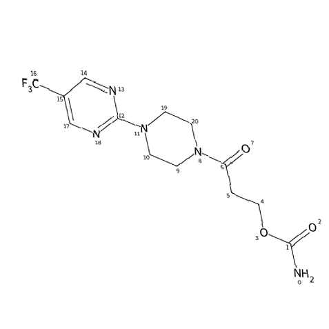 NC(=O)OCCC(=O)N1CCN(c2ncc(C(F)(F)F)cn2)CC1